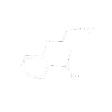 O=NN1CC(CC(=O)O)Oc2ccccc21